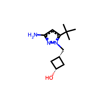 CC(C)(C)c1cc(N)nn1C[C@H]1C[C@@H](O)C1